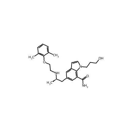 Cc1cccc(C)c1OCCN[C@H](C)Cc1cc(C(N)=O)c2c(ccn2CCCO)c1